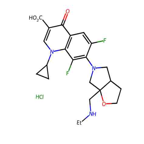 CCNCC12CN(c3c(F)cc4c(=O)c(C(=O)O)cn(C5CC5)c4c3F)CC1CCO2.Cl